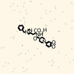 O=C(N[C@@H](Cc1cn(Cc2ccccc2)cn1)C(=O)O)C1CCN(c2ccc3c(c2)OCO3)CC1